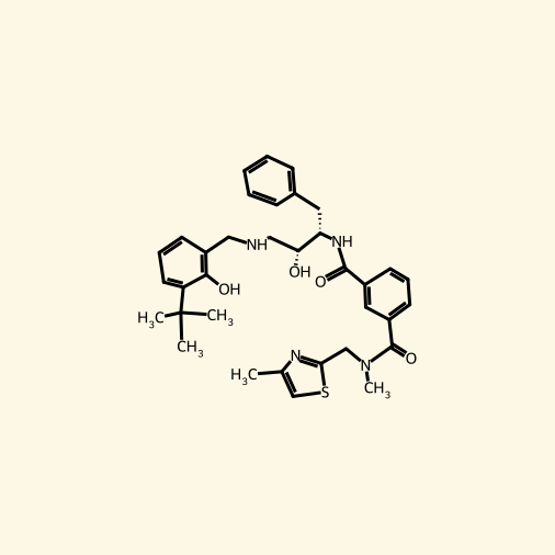 Cc1csc(CN(C)C(=O)c2cccc(C(=O)N[C@@H](Cc3ccccc3)[C@H](O)CNCc3cccc(C(C)(C)C)c3O)c2)n1